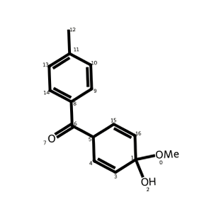 COC1(O)C=CC(C(=O)c2ccc(C)cc2)C=C1